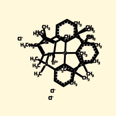 CC1=C(C)[C]([Ti+3])([Si](c2c([Si](C)(C)C)cccc2[Si](C)(C)C)(c2c([Si](C)(C)C)cccc2[Si](C)(C)C)c2c([Si](C)(C)C)cccc2[Si](C)(C)C)C(C)=C1C.[Cl-].[Cl-].[Cl-]